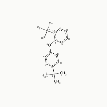 CC(C)(C)c1ccc(Oc2ccccc2C(F)(F)F)cc1